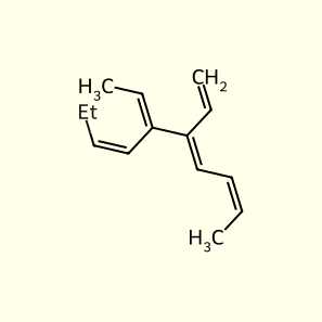 C=CC(=C\C=C/C)/C(/C=C\CC)=C/C